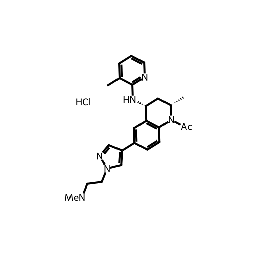 CNCCn1cc(-c2ccc3c(c2)[C@H](Nc2ncccc2C)C[C@H](C)N3C(C)=O)cn1.Cl